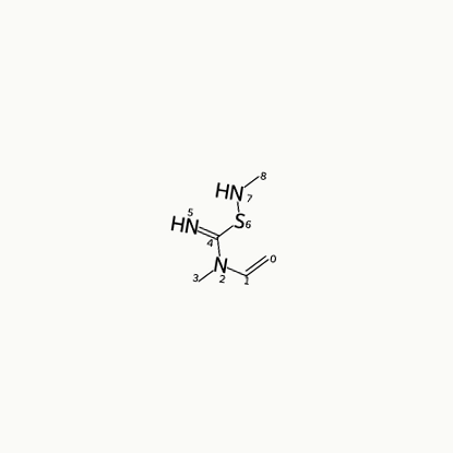 C=CN(C)C(=N)SNC